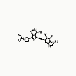 C=CC(=O)N1CC[C@H](n2nc(C#Cc3cc4ncn(CC)c4c(F)c3F)c3c(N)ncnc32)C1